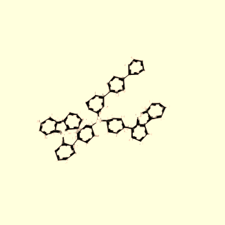 c1ccc(-c2ccc(-c3cccc(N(c4ccc(-c5ccccc5-n5c6ccccc6c6ccccc65)cc4)c4ccc(-c5cccc6c5oc5ccccc56)cc4)c3)cc2)cc1